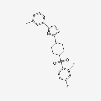 Cc1cccc(-c2csc(N3CCC(S(=O)(=O)c4ccc(F)cc4F)CC3)n2)c1